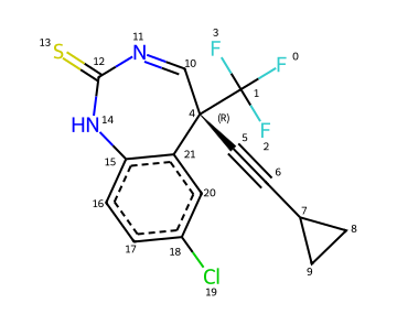 FC(F)(F)[C@@]1(C#CC2CC2)C=NC(=S)Nc2ccc(Cl)cc21